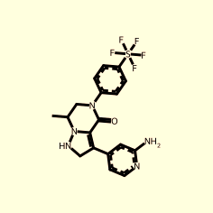 CC1CN(c2ccc(S(F)(F)(F)(F)F)cc2)C(=O)C2=C(c3ccnc(N)c3)CNN21